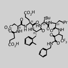 Cc1ccccc1C[C@H](NC(=O)[C@H](CCC(=O)O)NC(=O)[C@H](CC(=O)O)NC(=O)CCC(=O)O)C(=O)N[C@H](C(=O)N[C@@H](CC(C)C)C(=O)NC(CC(F)(F)F)C(=O)C(=O)NCc1ccccc1)C(C)(C)C